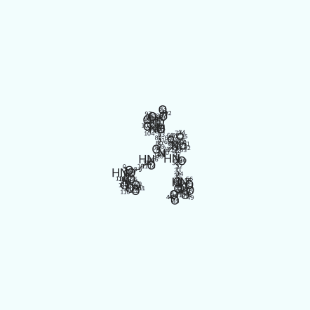 CC(=O)NC1[C@H](OCCCCCCC(=O)NCCCN(CCCCN(CCCNC(=O)CCCCCCO[C@@H]2OC(COC(C)=O)[C@H](OC(C)=O)[C@H](C)C2NC(C)=O)C(c2ccccc2)(c2ccccc2)c2ccccc2)C(=O)CCCCCCO[C@@H]2OC(COC(C)=O)[C@H](OC(C)=O)[C@H](C)C2NC(C)=O)OC(COC(C)=O)[C@H](OC(C)=O)[C@@H]1C